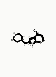 Clc1ccnc2[nH]c(CC3CCOCC3)cc12